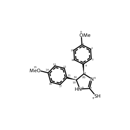 COc1ccc([C@H]2N=C(S)N[C@H]2c2ccc(OC)cc2)cc1